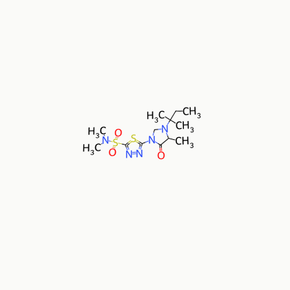 CCC(C)(C)N1CN(c2nnc(S(=O)(=O)N(C)C)s2)C(=O)C1C